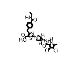 CCNC(=O)c1ccc(Cc2nc(N3C[C@@H]4[C@H](C3)[C@@H]4NC(=O)c3[nH]c(C)c(Cl)c3Cl)sc2C(=O)O)cc1